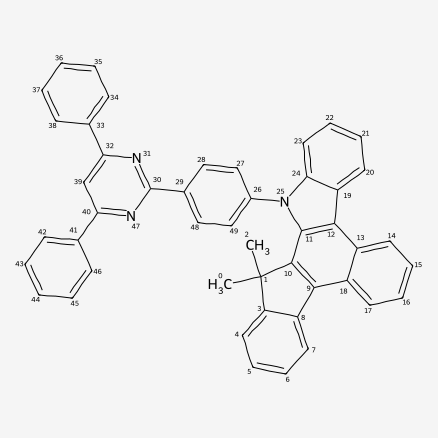 CC1(C)c2ccccc2-c2c1c1c(c3ccccc23)c2ccccc2n1-c1ccc(-c2nc(-c3ccccc3)cc(-c3ccccc3)n2)cc1